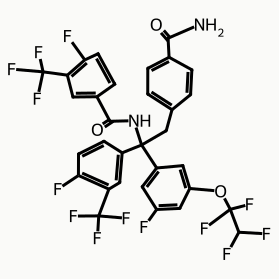 NC(=O)c1ccc(CC(NC(=O)c2ccc(F)c(C(F)(F)F)c2)(c2cc(F)cc(OC(F)(F)C(F)F)c2)c2ccc(F)c(C(F)(F)F)c2)cc1